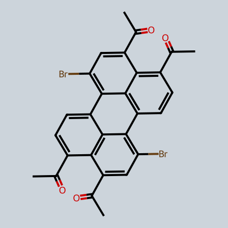 CC(=O)c1ccc2c3c(Br)cc(C(C)=O)c4c(C(C)=O)ccc(c5c(Br)cc(C(C)=O)c1c25)c43